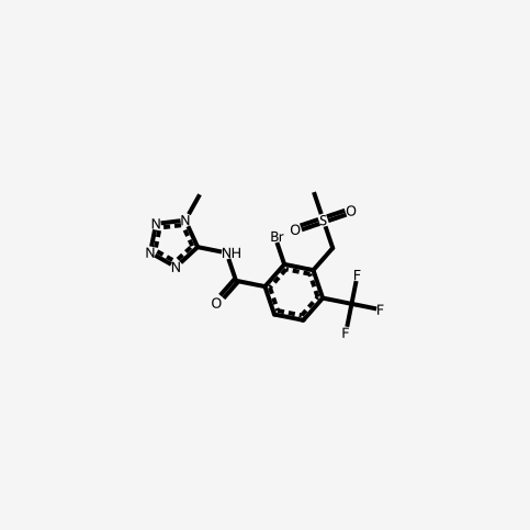 Cn1nnnc1NC(=O)c1ccc(C(F)(F)F)c(CS(C)(=O)=O)c1Br